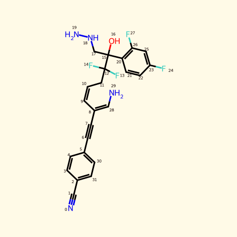 N#Cc1ccc(C#CC(/C=C\CC(F)(F)C(O)(CNN)c2ccc(F)cc2F)=C/N)cc1